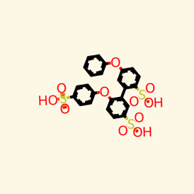 O=S(=O)(O)c1ccc(Oc2ccc(S(=O)(=O)O)cc2-c2cc(Oc3ccccc3)ccc2S(=O)(=O)O)cc1